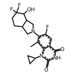 Cc1c(N2CC3CCC(F)(F)C(O)C3C2)c(F)cc2c(=O)[nH]c(=O)n(C3CC3)c12